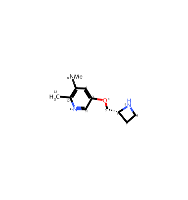 CNc1cc(OC[C@H]2CCN2)cnc1C